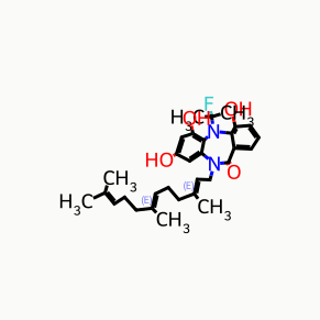 CC(C)=CCC/C(C)=C/CC/C(C)=C/CN1C(=O)c2cccc(O)c2N(C(C)(C)F)c2c(O)cc(O)cc21